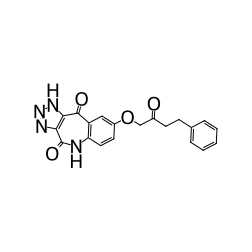 O=C(CCc1ccccc1)COc1ccc2[nH]c(=O)c3nn[nH]c3c(=O)c2c1